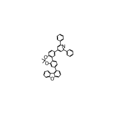 CC1(C)Oc2cc(-c3cccc4oc5ccccc5c34)ccc2-c2cc(-c3cc(-c4ccccc4)nc(-c4ccccc4)c3)ccc2O1